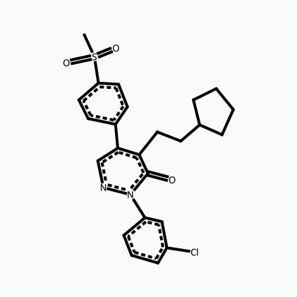 CS(=O)(=O)c1ccc(-c2cnn(-c3cccc(Cl)c3)c(=O)c2CCC2CCCC2)cc1